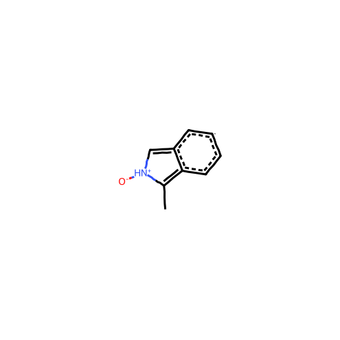 CC1=c2cc[c]cc2=C[NH+]1[O-]